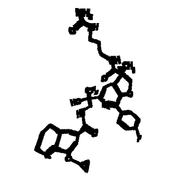 C[C@]1(C(=O)NCCCNC(N)=O)COc2c1cc(C(O)(CNC(=O)c1cc(OC3CC3)c3ncccc3c1)C(F)(F)F)nc2-c1ccc(F)cc1